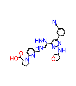 N#Cc1cccc(-c2cc(/C(=C/NCc3cccc(N4CCCC4C(=O)O)n3)N=N)nc(NC3CCOC3)n2)c1